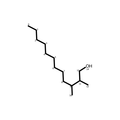 CCCCCCCCCC(C)C(C)CO